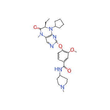 CC[C@@H]1C(=O)N(C)c2cnc(Oc3ccc(C(=O)NC4CCN(C)CC4)cc3OC)nc2N1C1CCCC1